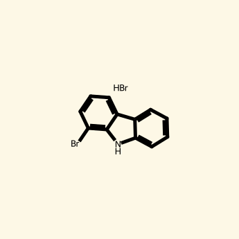 Br.Brc1cccc2c1[nH]c1ccccc12